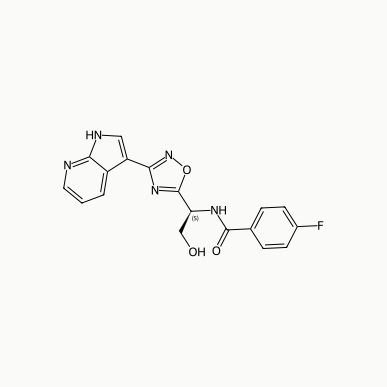 O=C(N[C@@H](CO)c1nc(-c2c[nH]c3ncccc23)no1)c1ccc(F)cc1